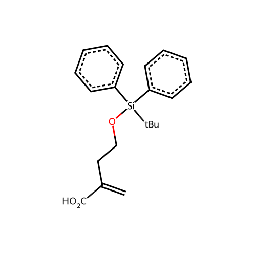 C=C(CCO[Si](c1ccccc1)(c1ccccc1)C(C)(C)C)C(=O)O